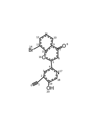 C#Cc1cc(-c2cc(=O)c3cccc(Br)c3o2)ncc1O